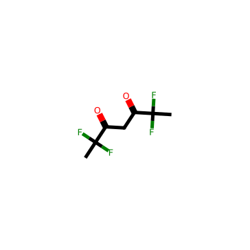 CC(F)(F)C(=O)CC(=O)C(C)(F)F